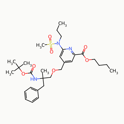 CCCCOC(=O)c1cc(COCC(C)(Cc2ccccc2)NC(=O)OC(C)(C)C)cc(N(CCC)S(C)(=O)=O)n1